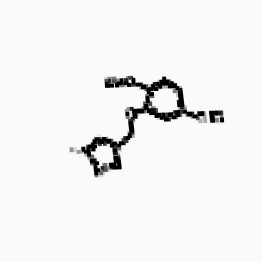 COc1ccc(C=O)cc1OCc1cnn(C)c1